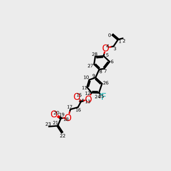 C=C(C)COc1ccc(-c2ccc(OC(=O)CCOC(=O)C(=C)C)c(F)c2)cc1